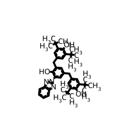 CC(C)(C)c1cc(Cc2cc(Cc3cc(C(C)(C)C)c(O)c(C(C)(C)C)c3)c(O)c(-n3nc4ccccc4n3)c2)cc(C(C)(C)C)c1O